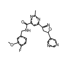 COc1cc(CNC(=O)c2cc(C3=NOC(c4cncnc4)C3)nc(C)n2)ccc1F